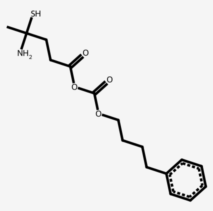 CC(N)(S)CCC(=O)OC(=O)OCCCCc1ccccc1